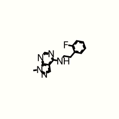 Cn1ncc2c(NCCc3ccccc3F)ncnc21